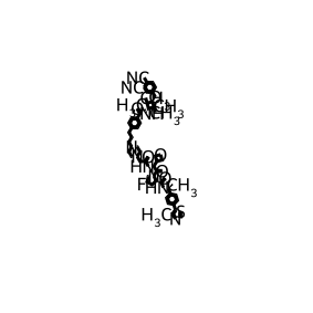 Cc1ncsc1-c1ccc([C@H](C)NC(=O)[C@@H]2C[C@@H](F)CN2C(=O)[C@H](NC(=O)CN2CCN(CCCc3ccc(C(=O)N[C@H]4C(C)(C)[C@H](Oc5ccc(C#N)c(C#N)c5)C4(C)C)cc3)CC2)C2COC2)cc1